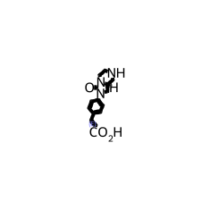 O=C(O)/C=C/c1ccc(N2C[C@@H]3CNCCN3C2=O)cc1